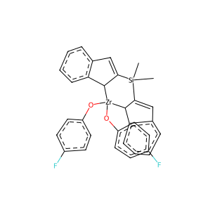 C[Si]1(C)C2=Cc3ccccc3[CH]2[Zr]([O]c2ccc(F)cc2)([O]c2ccc(F)cc2)[CH]2C1=Cc1ccccc12